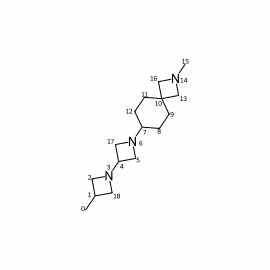 CC1CN(C2CN(C3CCC4(CC3)CN(C)C4)C2)C1